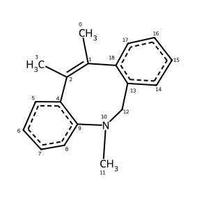 C/C1=C(\C)c2ccccc2N(C)Cc2ccccc21